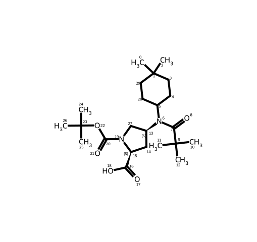 CC1(C)CCC(N(C(=O)C(C)(C)C)[C@H]2C[C@@H](C(=O)O)N(C(=O)OC(C)(C)C)C2)CC1